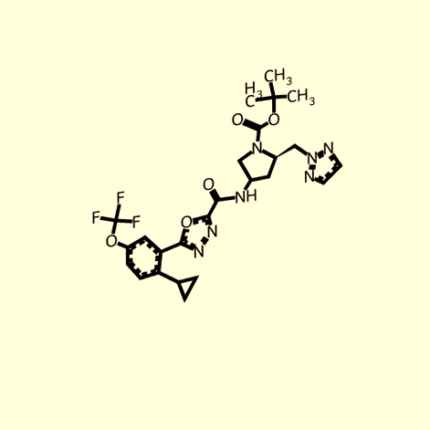 CC(C)(C)OC(=O)N1CC(NC(=O)c2nnc(-c3cc(OC(F)(F)F)ccc3C3CC3)o2)C[C@@H]1Cn1nccn1